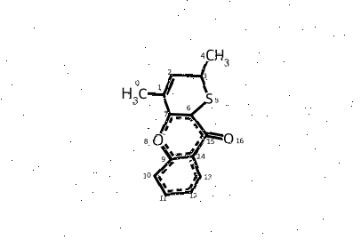 CC1=CC(C)Sc2c1oc1ccccc1c2=O